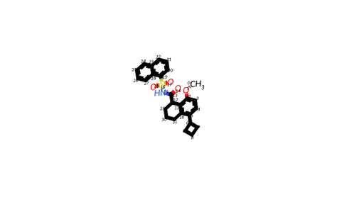 COc1ccc(C2CCC2)c2c1C(C(=O)NS(=O)(=O)c1cccc3ccccc13)CCC2